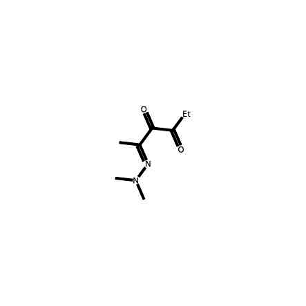 CCC(=O)C(=O)C(C)=NN(C)C